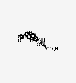 C[C@]12CC[C@H](NC(=O)NCCCC(=O)O)C[C@H]1CC[C@H]1C3=CC[C@H](C4=CC(=O)OC4)[C@@]3(C)CC[C@@H]12